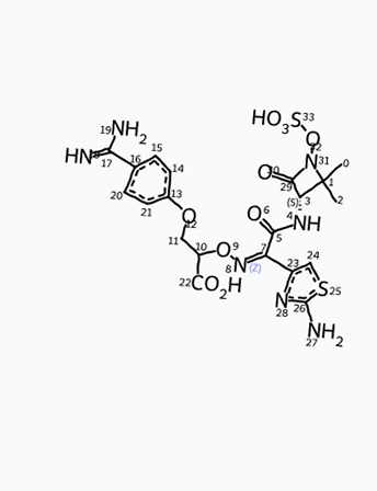 CC1(C)[C@H](NC(=O)/C(=N\OC(COc2ccc(C(=N)N)cc2)C(=O)O)c2csc(N)n2)C(=O)N1OS(=O)(=O)O